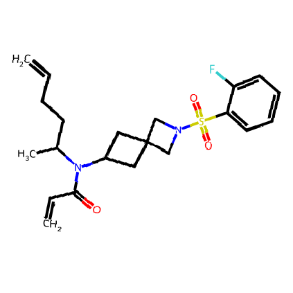 C=CCCC(C)N(C(=O)C=C)C1CC2(C1)CN(S(=O)(=O)c1ccccc1F)C2